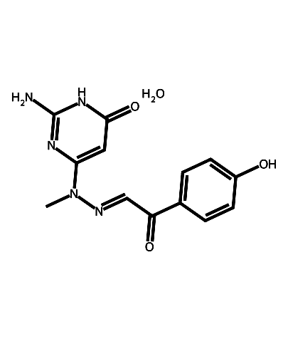 CN(N=CC(=O)c1ccc(O)cc1)c1cc(=O)[nH]c(N)n1.O